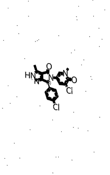 Cc1[nH]nc2c1C(=O)N(c1cc(Cl)c(=O)n(C)c1)[C@H]2c1ccc(Cl)cc1